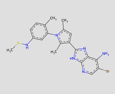 CSNc1ccc(C)c(-n2c(C)cc(-c3nc4c(N)c(Br)cnc4[nH]3)c2C)c1